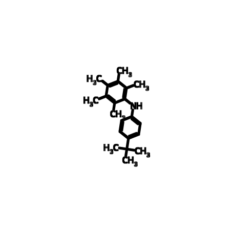 Cc1c(C)c(C)c(Nc2ccc(C(C)(C)C)cc2)c(C)c1C